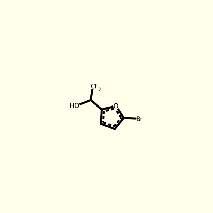 OC(c1ccc(Br)o1)C(F)(F)F